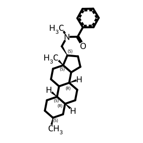 C[C@H]1CC[C@@H]2C3CC[C@@]4(C)C(CC[C@@H]4CN(C)C(=O)c4ccccc4)[C@@H]3CC[C@@H]2C1